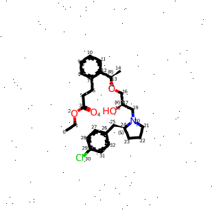 CCOC(=O)CCc1ccccc1[C@@H](C)OC[C@H](O)CN1CCC[C@H]1Cc1ccc(Cl)cc1